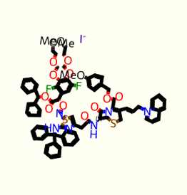 COCCOCOc1c(F)cc(C(ON=S2C=C(CC(=O)N[C@H]3C(=O)N4C(C(=O)OCc5ccc(OC)cc5)=C(C=CC[n+]5cccc6ccccc65)CSC34)N=C2NC(c2ccccc2)(c2ccccc2)c2ccccc2)C(=O)OC(c2ccccc2)c2ccccc2)c(F)c1OCOCCOC.[I-]